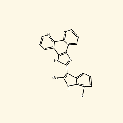 CC(C)(C)c1[nH]c2c(F)cccc2c1-c1nc2c3cccnc3c3ncccc3c2[nH]1